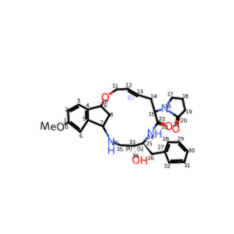 COc1ccc2c(c1)C1CC2OC/C=C/CC(N2CCCC2=O)C(=O)N[C@@H](Cc2ccccc2)[C@H](O)CN1